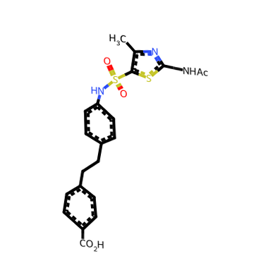 CC(=O)Nc1nc(C)c(S(=O)(=O)Nc2ccc(CCc3ccc(C(=O)O)cc3)cc2)s1